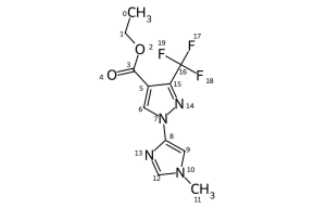 CCOC(=O)c1cn(-c2cn(C)cn2)nc1C(F)(F)F